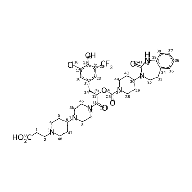 O=C(O)CCN1CCC(N2CCN(C(=O)[C@@H](Cc3cc(Cl)c(O)c(C(F)(F)F)c3)OC(=O)N3CCC(N4CCc5ccccc5NC4=O)CC3)CC2)CC1